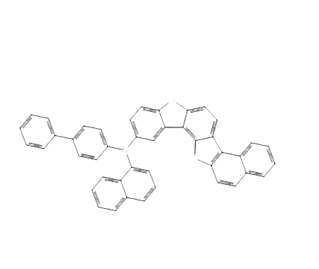 c1ccc(-c2ccc(N(c3ccc4oc5ccc6c(sc7ccc8ccccc8c76)c5c4c3)c3cccc4ccccc34)cc2)cc1